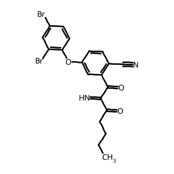 CCCCC(=O)C(=N)C(=O)c1cc(Oc2ccc(Br)cc2Br)ccc1C#N